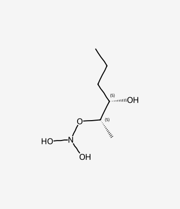 CCC[C@H](O)[C@H](C)ON(O)O